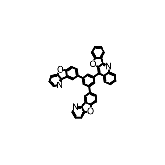 c1ccc2c(-c3cc(-c4ccc5oc6cccnc6c5c4)cc(-c4ccc5oc6cccnc6c5c4)c3)c3oc4ccccc4c3nc2c1